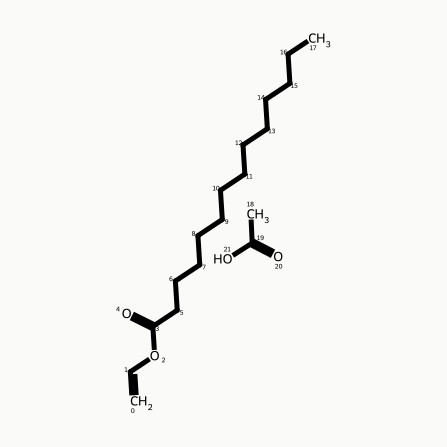 C=COC(=O)CCCCCCCCCCCCC.CC(=O)O